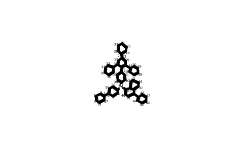 c1ccc(-c2ccc(N(c3ccc(-c4c(-c5ccccc5)cc(-c5ccccc5)cc4-c4ccccc4)cc3)c3ccc(-c4ccccc4)c4ccccc34)cc2)cc1